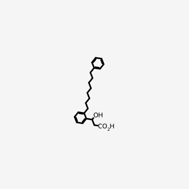 O=C(O)CC(O)c1ccccc1CCCCCCCCc1ccccc1